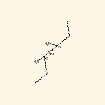 CCCCCCCC/C=C\CCCCCCCC(=O)N(CCCN)CCCCN(CCCN(CCCN)C(=O)CCCCCCC/C=C\CCCCCCCC)C(C)=O